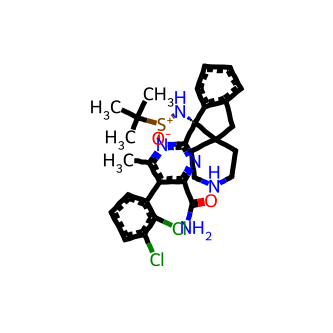 Cc1nc([C@@]2(N[S@+]([O-])C(C)(C)C)c3ccccc3CC23CCNCC3)nc(C(N)=O)c1-c1cccc(Cl)c1Cl